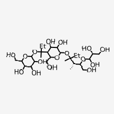 CCC(C)(OC1OC(CO)C(O)C(O)C1O)C1C(CO)OC(OC(C)(CC)[C@@H](C)C(CO)OC(O)[C@@H](O)CO)C(O)C1O